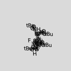 CC(C)(C)OC(=O)NCCCn1cc(-c2ccc3c(c2)CC[C@H]([C@](C)(O/N=C(\C(=O)OS(=O)(=O)C(F)(F)F)c2csc(NC(=O)OC(C)(C)C)n2)C(=O)OC(C)(C)C)O3)c[n+]1CC1CN(C(=O)OC(C)(C)C)C1